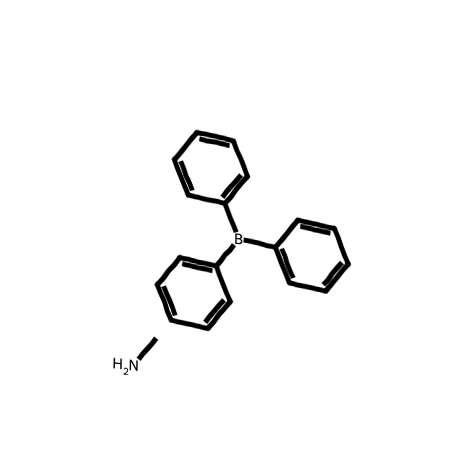 CN.c1ccc(B(c2ccccc2)c2ccccc2)cc1